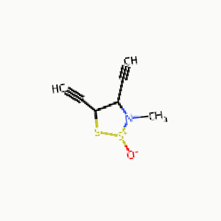 C#CC1S[S+]([O-])N(C)C1C#C